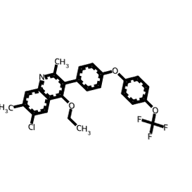 CCOc1c(-c2ccc(Oc3ccc(OC(F)(F)F)cc3)cc2)c(C)nc2cc(C)c(Cl)cc12